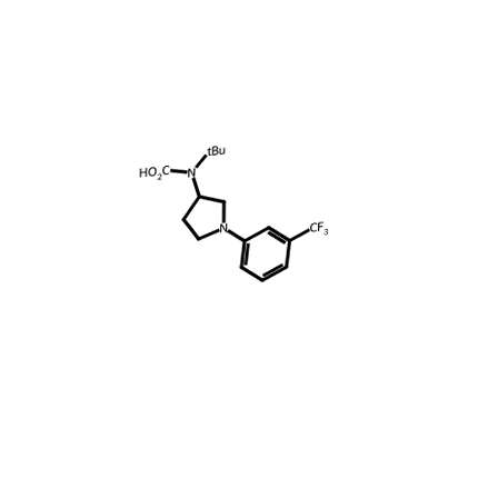 CC(C)(C)N(C(=O)O)C1CCN(c2cccc(C(F)(F)F)c2)C1